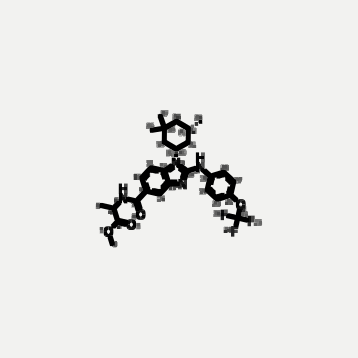 COC(=O)C(C)NC(=O)c1ccc2c(c1)nc(Nc1ccc(OC(F)(F)F)cc1)n2[C@H]1C[C@@H](C)CC(C)(C)C1